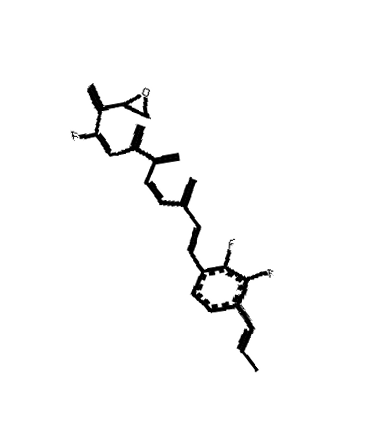 C=C(/C=C\C(=C)C(=C)/C=C(/F)C(=C)C1CO1)/C=C/c1ccc(/C=C/C)c(F)c1F